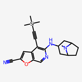 CN1C2CCC1CC(Nc1ncc3oc(C#N)cc3c1C#C[Si](C)(C)C)C2